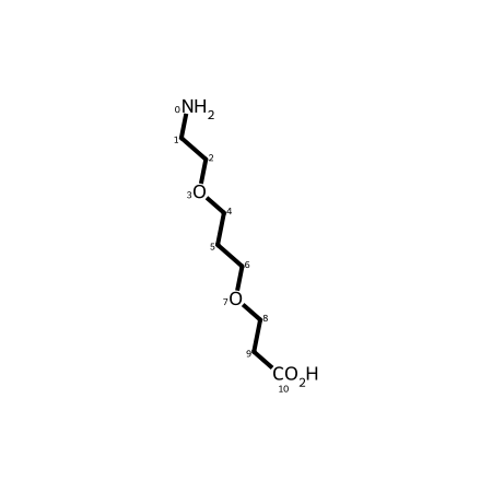 NCCOCCCOCCC(=O)O